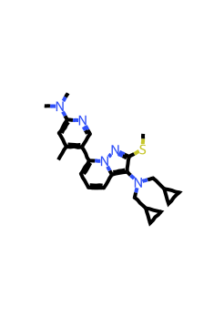 CSc1nn2c(-c3cnc(N(C)C)cc3C)cccc2c1N(CC1CC1)CC1CC1